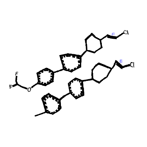 Cc1ccc(-c2ccc(C3CCC(/C=C/Cl)CC3)cc2)cc1.FC(F)Oc1ccc(-c2ccc(C3CCC(/C=C/Cl)CC3)cc2)cc1